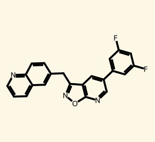 Fc1cc(F)cc(-c2cnc3onc(Cc4ccc5ncccc5c4)c3c2)c1